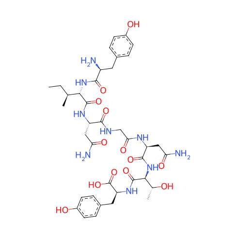 CC[C@H](C)[C@H](NC(=O)[C@@H](N)Cc1ccc(O)cc1)C(=O)N[C@@H](CC(N)=O)C(=O)NCC(=O)N[C@@H](CC(N)=O)C(=O)N[C@H](C(=O)N[C@@H](Cc1ccc(O)cc1)C(=O)O)[C@@H](C)O